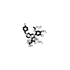 CCOc1cc(N)c(Cl)cc1N(CC1CN(Cc2ccc(F)cc2)CCO1)C(=O)CC(O)(CC(=O)O)C(=O)O.O.O